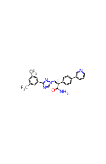 NC(=O)/C(=C\n1cnc(-c2cc(C(F)(F)F)cc(C(F)(F)F)c2)n1)c1ccc(-c2cccnc2)cc1